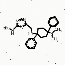 CN(C)C1(c2ccccc2)CCC(NCc2ncnc(NC(C)(C)C)n2)(c2ccccc2)CC1